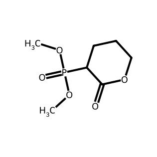 COP(=O)(OC)C1CCCOC1=O